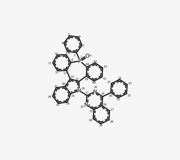 O=P1(c2ccccc2)c2ccccc2-c2c(n(-c3nc(-c4ccccc4)c4ccccc4n3)c3ccccc23)-c2ccccc21